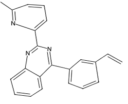 C=Cc1cccc(-c2nc(-c3cccc(C)n3)nc3ccccc23)c1